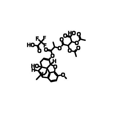 COc1ccc2c3c1O[C@H]1C(OC(=O)C(C)OC(=O)C(OC(C)=O)C(OC(C)=O)C(=O)O)=CC[C@@]4(O)[C@@H](C2)N(C)CC[C@]314.O=C(O)C(F)(F)F